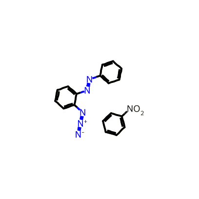 O=[N+]([O-])c1ccccc1.[N-]=[N+]=Nc1ccccc1N=Nc1ccccc1